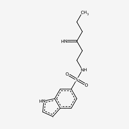 CCCC(=N)CCNS(=O)(=O)c1ccc2[c]c[nH]c2c1